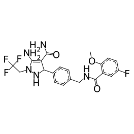 COc1ccc(F)cc1C(=O)NCc1ccc(C2NN(CC(F)(F)F)C(N)=C2C(N)=O)cc1